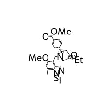 CCO[C@H]1CCN(Cc2c(OC)cc(C)c3c2cnn3SI)[C@H](c2ccc(C(=O)OC)cc2)C1